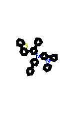 c1ccc(-c2ccc(N(c3cc(-c4ccccc4)cc(-c4cccc5c4sc4ccccc45)c3)c3ccc4c5ccccc5n(-c5ccccc5)c4c3)cc2)cc1